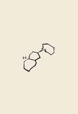 [CH]1CCN([C@@H]2CC[C@@H]3CCCCC3C2)CC1